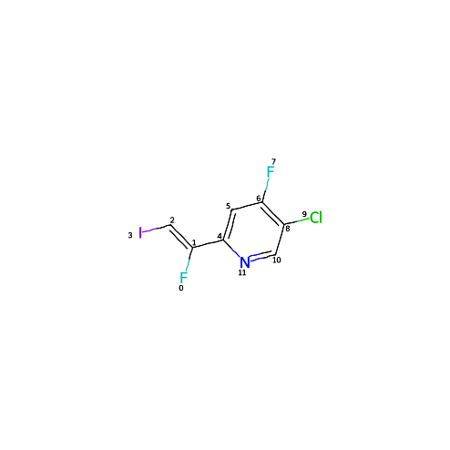 FC(=CI)c1cc(F)c(Cl)cn1